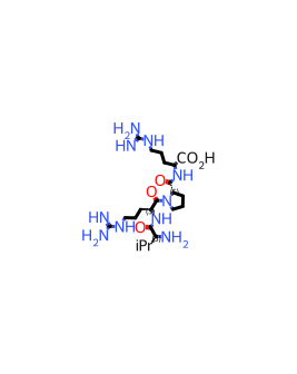 CC(C)[C@H](N)C(=O)N[C@@H](CCCNC(=N)N)C(=O)N1CCC[C@H]1C(=O)NC(CCCNC(=N)N)C(=O)O